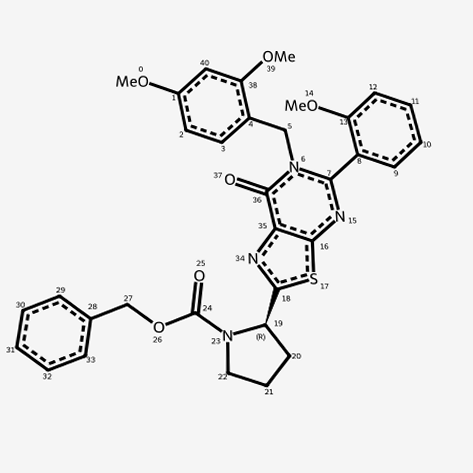 COc1ccc(Cn2c(-c3ccccc3OC)nc3sc([C@H]4CCCN4C(=O)OCc4ccccc4)nc3c2=O)c(OC)c1